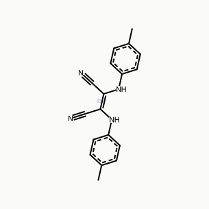 Cc1ccc(N/C(C#N)=C(/C#N)Nc2ccc(C)cc2)cc1